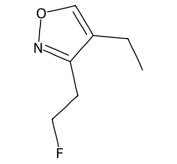 CCc1conc1CCF